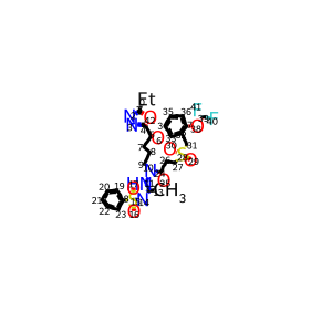 CCc1nnc(C(=O)CCCN(NC(C)=NS(=O)(=O)c2ccccc2)C(=O)CCS(=O)(=O)Cc2ccccc2OC(F)F)o1